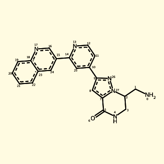 NCC1CNC(=O)c2cc(-c3ccnc(-c4cnc5ccccc5c4)c3)nn21